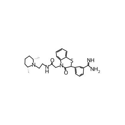 C[C@@H]1CCC[C@H](C)N1CCNC(=O)CN1C(=O)C(c2cccc(C(=N)N)c2)Sc2ccccc21